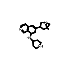 FC12CC(C3=Cc4ccncc4C(NC4CCNCC4)C3)C[N@@]1C2